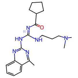 Cc1nc(N/C(=N/C(=O)C2CCCC2)NCCCN(C)C)nc2ccccc12